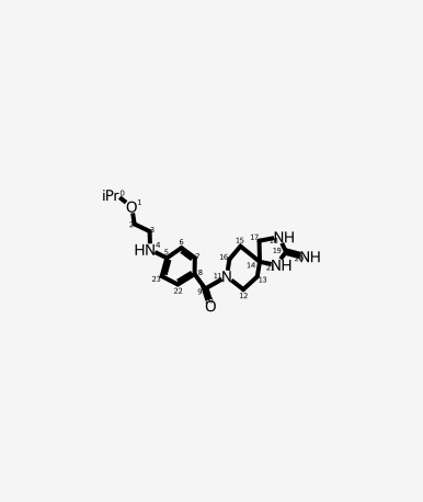 CC(C)OCCNc1ccc(C(=O)N2CCC3(CC2)CNC(=N)N3)cc1